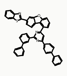 c1ccc(-c2ccc(-c3cc(-c4cccc5oc6cc(-c7nc8ccccc8s7)ccc6c45)nc(-c4cccc(-c5ccccc5)c4)n3)cc2)cc1